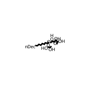 CC(O)CO.CCCCCCCCCCCCCCCCCC(=O)OC[C@@H](O)[C@H]1OC[C@H](O)[C@H]1O